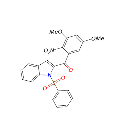 COc1cc(OC)c([N+](=O)[O-])c(C(=O)c2cc3ccccc3n2S(=O)(=O)c2ccccc2)c1